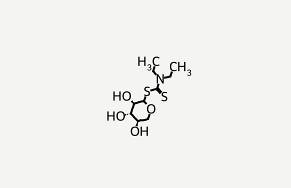 CCN(CC)C(=S)SC1OC[C@@H](O)[C@H](O)[C@H]1O